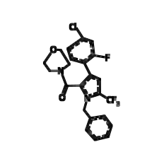 O=C(c1c(-c2ccc(Cl)cc2F)cc(C(F)(F)F)n1Cc1ccccc1)N1CCOCC1